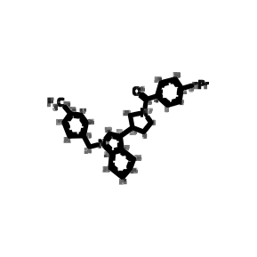 CCCc1ccc(C(=O)N2CCC(c3cn(Cc4ccc(C(F)(F)F)cc4)c4ccccc34)C2)cc1